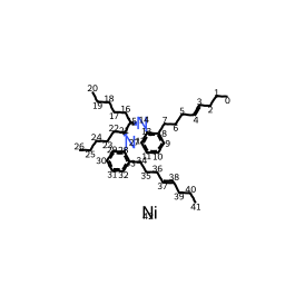 CCCC=CCCCc1ccccc1N=C(CCCCC)C(CCCCC)=Nc1ccccc1CCCC=CCCC.[Ni]